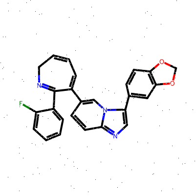 Fc1ccccc1C1=NCC=CC=C1c1ccc2ncc(-c3ccc4c(c3)OCO4)n2c1